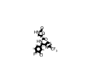 O=C1NC[C@@H](C(=O)NC(c2ccc(F)c(Cl)c2)c2csc(C(F)(F)F)n2)O1